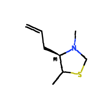 C=CC[C@@H]1C(C)SCN1C